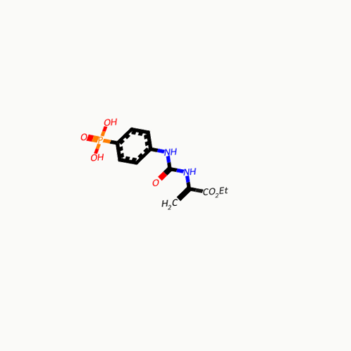 C=C(NC(=O)Nc1ccc(P(=O)(O)O)cc1)C(=O)OCC